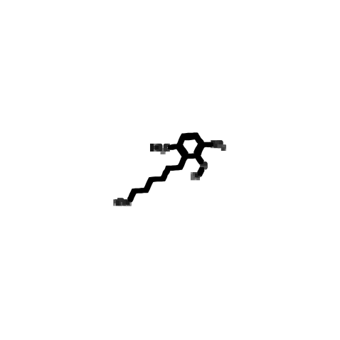 CCCCCCCCCCCCCCCCc1c(C(=O)O)ccc([N+](=O)[O-])c1OC(C)C